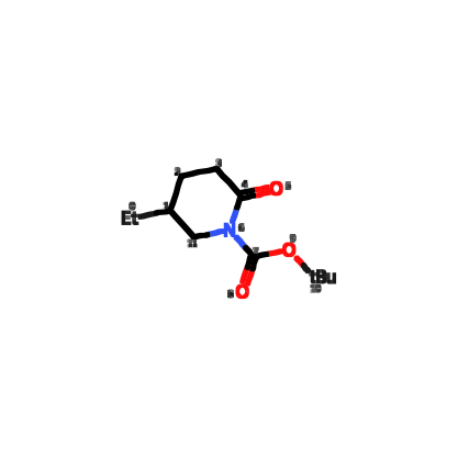 CCC1CCC(=O)N(C(=O)OC(C)(C)C)C1